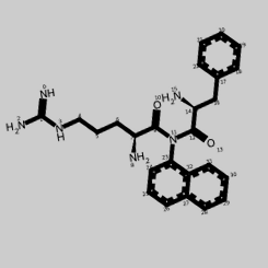 N=C(N)NCCC[C@H](N)C(=O)N(C(=O)[C@@H](N)Cc1ccccc1)c1cccc2ccccc12